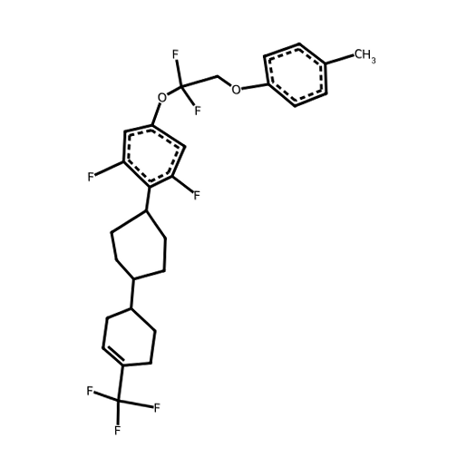 Cc1ccc(OCC(F)(F)Oc2cc(F)c(C3CCC(C4CC=C(C(F)(F)F)CC4)CC3)c(F)c2)cc1